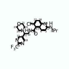 CC(C)Nc1ccc2c(C(=O)NCC(c3cnc(C(F)(F)F)nc3)N3CCOCC3)c(Cl)ccc2n1